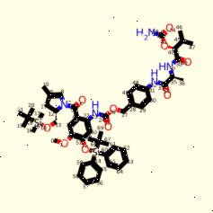 COc1cc(C(=O)N2C=C(C)C[C@H]2CO[Si](C)(C)C(C)(C)C)c(NC(=O)OCc2ccc(NC(=O)[C@H](C)NC(=O)[C@@H](OC(N)=O)C(C)C)cc2)cc1O[Si](c1ccccc1)(c1ccccc1)C(C)(C)C